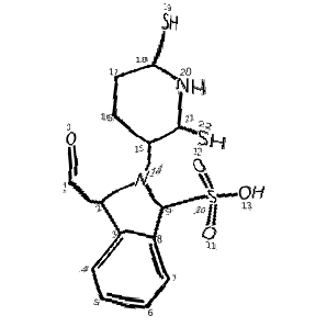 O=CC1c2ccccc2C(S(=O)(=O)O)N1C1CCC(S)NC1S